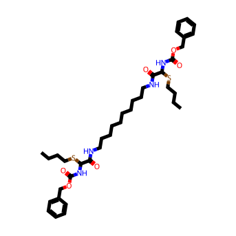 CCCCSC(NC(=O)OCc1ccccc1)C(=O)NCCCCCCCCCCNC(=O)C(NC(=O)OCc1ccccc1)SCCCC